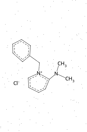 CN(C)c1cccc[n+]1Cc1ccccc1.[Cl-]